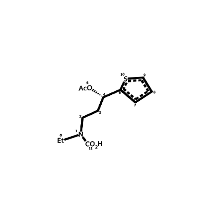 CCN(CC[C@H](OC(C)=O)c1cccs1)C(=O)O